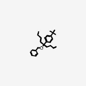 CCCCC(CCCC)(OCc1ccccc1)c1ccc(C(C)(C)C)cc1